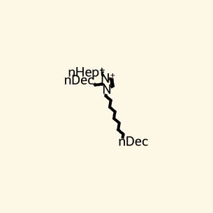 CCCCCCCCCCCCCCCCCCn1cc[n+](CCCCCCC)c1CCCCCCCCCCC